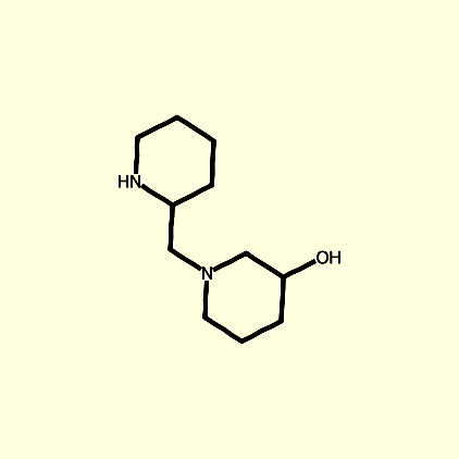 OC1CCCN(CC2CCCCN2)C1